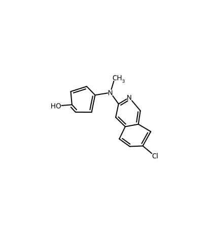 CN(c1ccc(O)cc1)c1cc2ccc(Cl)cc2cn1